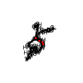 CC(=O)Oc1ccc(COC(=O)NCCN(CCCCC(C=O)P(=O)(O)O)CC(=O)O[C@@H]2[C@@H](C)[C@@H](O)[C@@H](C)[C@H](C)[C@H](C)[C@@H](C)/C=C/O[C@@]3(C)Oc4c(C)c(O)c5c(c4C3=O)C3=NC4(CCN(CC(C)C)CC4)NC3=C(NC(=O)/C(C)=C\C=C\[C@@H]2C)C5=O)cc1